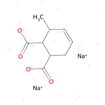 CC1C=CCC(C(=O)[O-])C1C(=O)[O-].[Na+].[Na+]